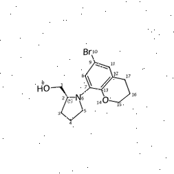 OC[C@@H]1CCCN1c1cc(Br)cc2c1OCCC2